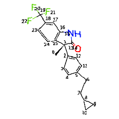 C[C@]1(c2ccc(CCC3CC3)cc2)C(=O)Nc2cc(C(F)(F)F)ccc21